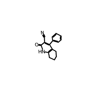 N#Cc1c(-c2ccccc2)c2c([nH]c1=O)CCCC2